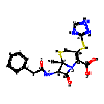 O=C(Cc1ccccc1)N[C@@H]1C(=O)N2C(C(=O)O)=C(Sc3nc[nH]n3)CS[C@@H]12